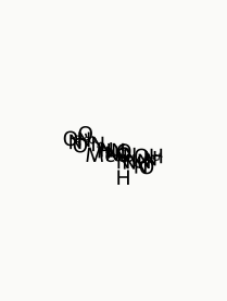 C=CC(=O)Nc1cc(Nc2nc(-c3ccnc(N4CCn5c(cc6c5CC(C)(C)C6)C4=O)c3CO)cnc2OC)ccc1N1CCN(C2CCN(c3ccc4c(c3)CN(C3CCC(=O)N(C)C3=O)C4=O)CC2)C[C@@H]1C